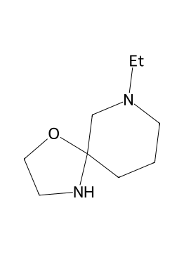 CCN1CCCC2(C1)NCCO2